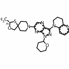 C[C@@H]1OCC2(CCN(c3cnc4c(N5CCCc6ncccc65)nn(C5CCCCO5)c4n3)CC2)S1